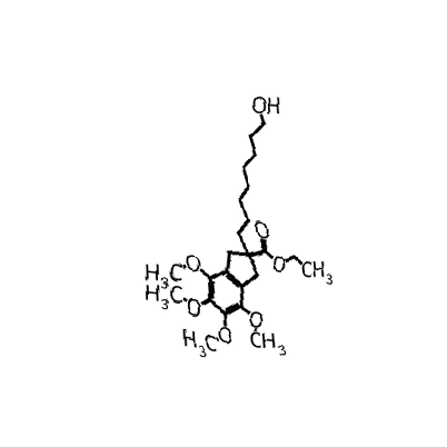 CCOC(=O)C1(CCCCCCCCO)Cc2c(c(OC)c(OC)c(OC)c2OC)C1